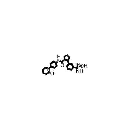 N=C(NO)c1cccc(C2=C(C(=O)Nc3ccc(N4CCCCC4=O)cc3)CCC2)c1